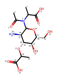 CC(=O)N(C(C)C(=O)O)C1O[C@H](CO)[C@@H](O)[C@H](OC(C)C(=O)O)[C@H]1N